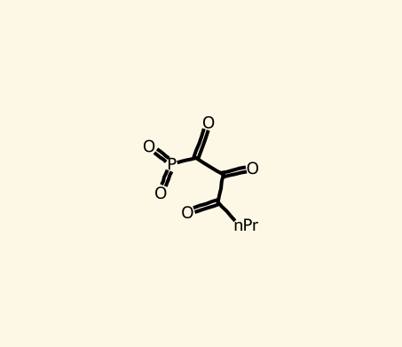 CCCC(=O)C(=O)C(=O)P(=O)=O